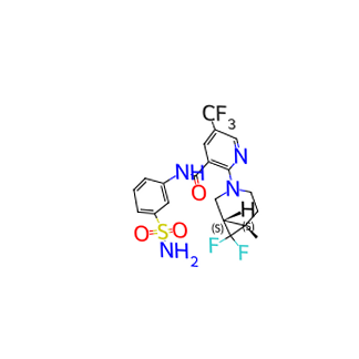 C[C@]12CCN(c3ncc(C(F)(F)F)cc3C(=O)Nc3cccc(S(N)(=O)=O)c3)C[C@H]1C2(F)F